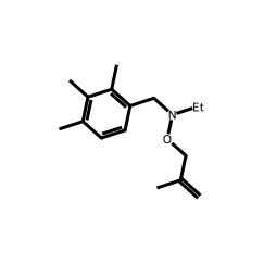 C=C(C)CON(CC)Cc1ccc(C)c(C)c1C